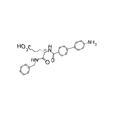 Nc1ccc(-c2ccc(C(=O)N[C@@H](CCC(=O)O)C(=O)NCc3ccccc3)cc2)cc1